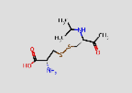 CC(=O)[C@H](CSSC[C@H](N)C(=O)O)NC(C)C